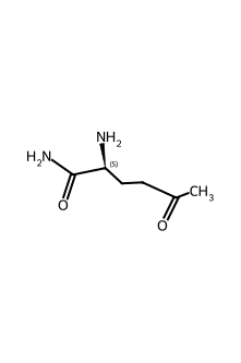 CC(=O)CC[C@H](N)C(N)=O